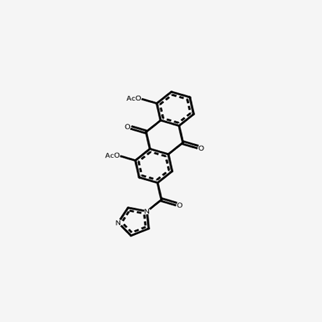 CC(=O)Oc1cccc2c1C(=O)c1c(OC(C)=O)cc(C(=O)n3ccnc3)cc1C2=O